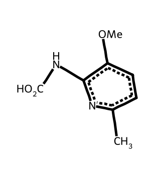 COc1ccc(C)nc1NC(=O)O